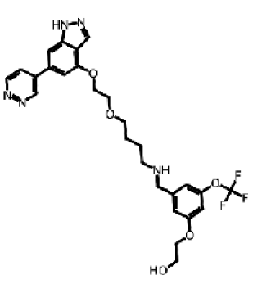 OCCOc1cc(CNCCCCOCCOc2cc(-c3ccnnc3)cc3[nH]ncc23)cc(OC(F)(F)F)c1